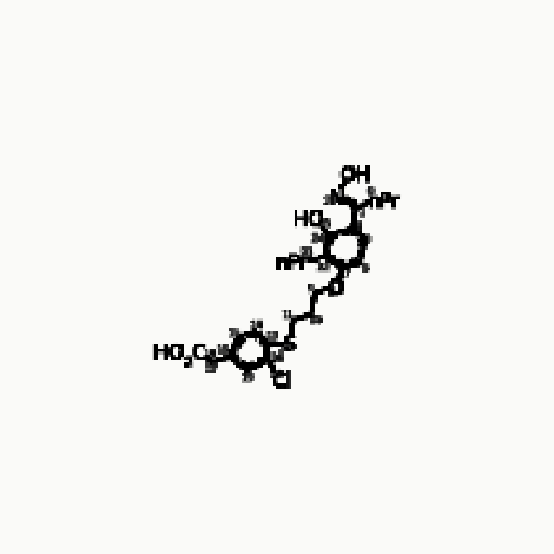 CCCC(=NO)c1ccc(OCCCSc2ccc(CC(=O)O)cc2Cl)c(CCC)c1O